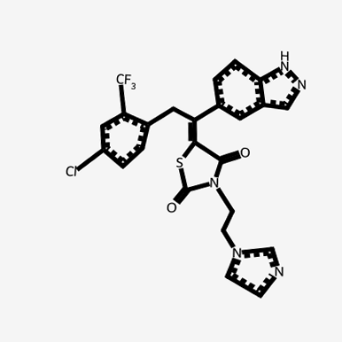 O=C1SC(=C(Cc2ccc(Cl)cc2C(F)(F)F)c2ccc3[nH]ncc3c2)C(=O)N1CCn1ccnc1